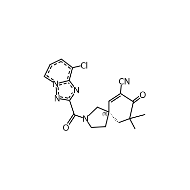 CC1(C)C[C@]2(C=C(C#N)C1=O)CCN(C(=O)c1nc3c(Cl)cccn3n1)C2